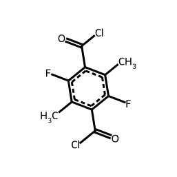 Cc1c(F)c(C(=O)Cl)c(C)c(F)c1C(=O)Cl